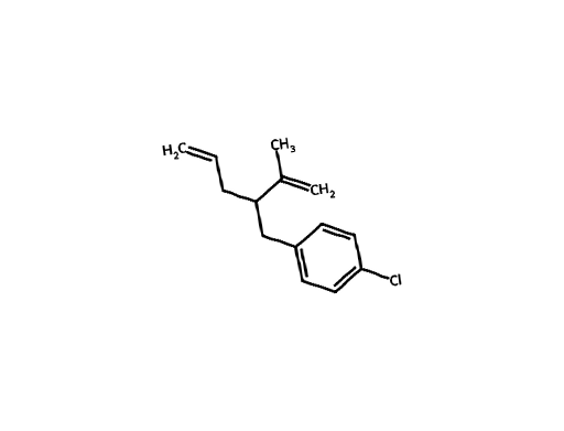 C=CCC(Cc1ccc(Cl)cc1)C(=C)C